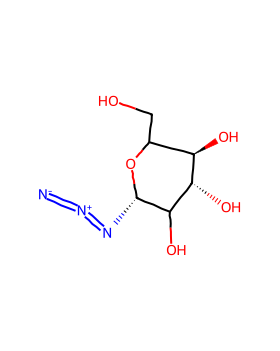 [N-]=[N+]=N[C@@H]1OC(CO)[C@@H](O)[C@H](O)C1O